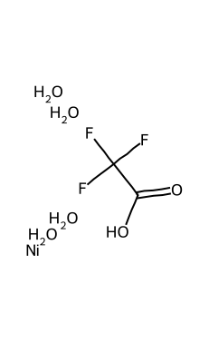 O.O.O.O.O=C(O)C(F)(F)F.[Ni]